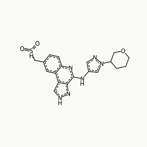 O=[SH](=O)Cc1ccc2nc(Nc3cnn(C4CCCOC4)c3)c3n[nH]cc3c2c1